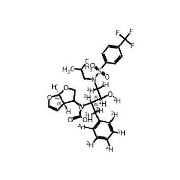 [2H]O[C@]([2H])(C([2H])([2H])N(CC(C)C)S(=O)(=O)c1ccc(C(F)(F)F)cc1)[C@@]([2H])(N(C(=O)O)C1CO[C@@H]2OC=C[C@@H]12)C([2H])([2H])c1c([2H])c([2H])c([2H])c([2H])c1[2H]